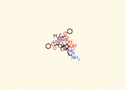 C=C[C@]1(COP(=O)(N[C@@H](C)C(=O)OC2CCCCC2)N[C@@H](C)C(=O)OC2CCCCC2)O[C@@H](n2ccc(N)nc2=O)[C@H](O)[C@@H]1O